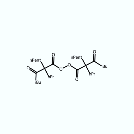 CCCCCC(CCC)(C(=O)OOC(=O)C(CCC)(CCCCC)C(=O)C(C)CC)C(=O)C(C)CC